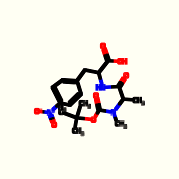 CC(C(=O)NC(Cc1ccc([N+](=O)[O-])cc1)C(=O)O)N(C)C(=O)OC(C)(C)C